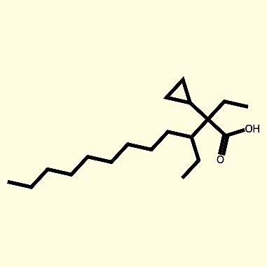 CCCCCCCCCC(CC)C(CC)(C(=O)O)C1CC1